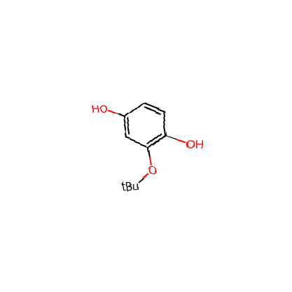 CC(C)(C)Oc1cc(O)ccc1O